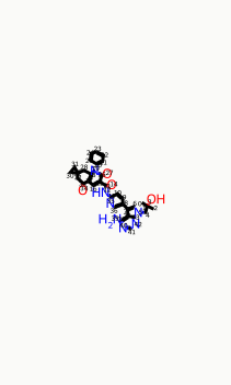 CC(C)(O)Cn1cc(-c2ccc(NC(=O)c3cc4c(n(-c5ccccc5)c3=O)CC3(CC3)CC4=O)nc2)c2c(N)ncnc21